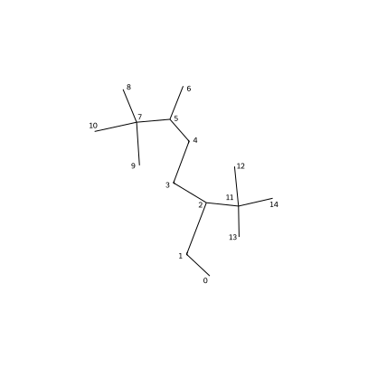 CCC(CCC(C)C(C)(C)C)C(C)(C)C